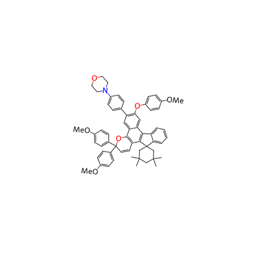 COc1ccc(Oc2cc3c4c(c5c(c3cc2-c2ccc(N3CCOCC3)cc2)OC(c2ccc(OC)cc2)(c2ccc(OC)cc2)C=C5)C2(CC(C)(C)CC(C)(C)C2)c2ccccc2-4)cc1